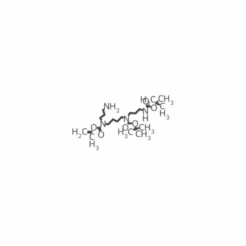 C=C(C)OC(=O)N(CCCN)CCCCN(CCCNC(=O)OC(C)(C)C)C(=O)OC(C)(C)C